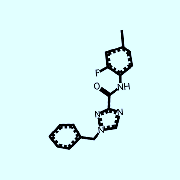 Cc1ccc(NC(=O)c2ncn(Cc3ccccc3)n2)c(F)c1